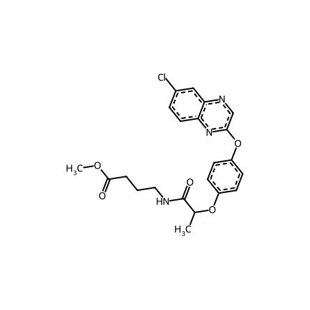 COC(=O)CCCNC(=O)C(C)Oc1ccc(Oc2cnc3cc(Cl)ccc3n2)cc1